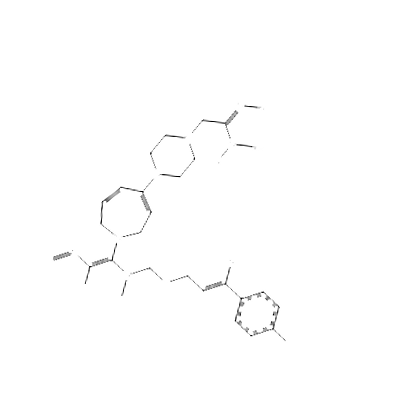 C=N/C(CC)=C(/N(C)CSC/C=C(\N)c1ccc(F)cc1)N1CC=CC(N2CCN(C/C(=N/N)N(N)C(C)CC)CC2)=CC1